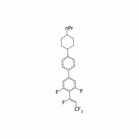 CCCC1CCC(c2ccc(-c3cc(F)c(/C(F)=C/C(F)(F)F)c(F)c3)cc2)CC1